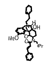 COc1ccc2c3c1OC1C(N(CC(C)C)C(=O)/C=C/c4ccccc4)CC[C@@]4(O)[C@@H](C2)N(CCc2ccccc2)CC[C@]314